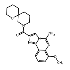 COc1cccc2c1nc(N)n1cc(C(=O)N3CCCC4(CCCCO4)C3)nc21